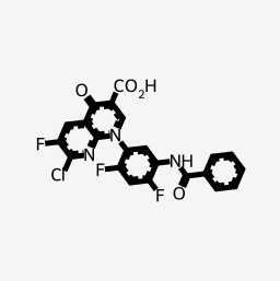 O=C(Nc1cc(-n2cc(C(=O)O)c(=O)c3cc(F)c(Cl)nc32)c(F)cc1F)c1ccccc1